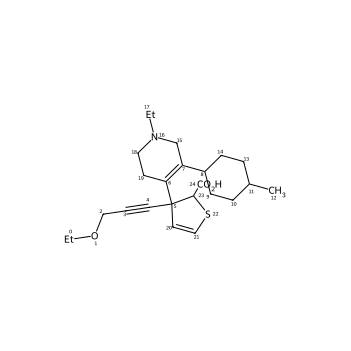 CCOCC#CC1(C2=C(C3CCC(C)CC3)CN(CC)CC2)C=CSC1C(=O)O